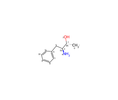 [CH2][C@@H](O)[C@@H](N)Cc1ccccc1